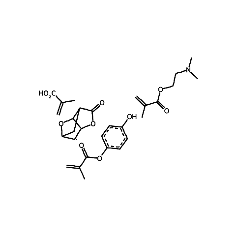 C=C(C)C(=O)O.C=C(C)C(=O)OCCN(C)C.C=C(C)C(=O)Oc1ccc(O)cc1.O=C1OC2[CH]C3CC1C2O3